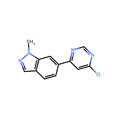 Cn1ncc2ccc(-c3cc(Cl)ncn3)cc21